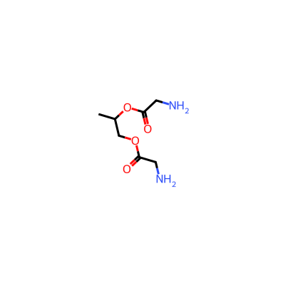 CC(COC(=O)CN)OC(=O)CN